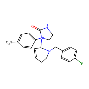 O=C1NCC[N+]1(c1ccc([N+](=O)[O-])cc1)C1C=CCCN1Cc1ccc(F)cc1